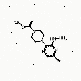 CC(C)(C)OC(=O)N1CCN(c2ncc(Br)nc2NN)CC1